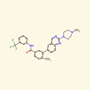 Cc1ccc(C(=O)Nc2cccc(C(F)(F)F)c2)cc1-c1ccc2nc(N3CCN(C)CC3)ncc2c1